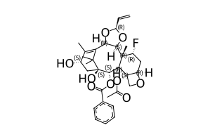 C=C[C@@H]1O[C@@H]2C3=C(C)[C@@H](O)C[C@@](O)([C@@H](OC(=O)c4ccccc4)[C@@H]4[C@]5(OC(C)=O)CO[C@@H]5C[C@@H](F)[C@@]4(C)[C@@H]2O1)C3(C)C